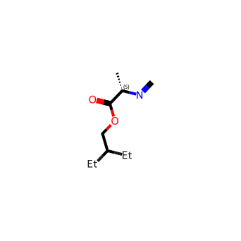 C=N[C@@H](C)C(=O)OCC(CC)CC